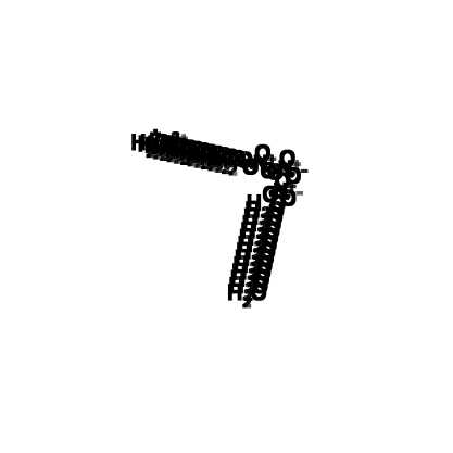 O.O.O.O.O.O.O.O.O.O.O.O.O.O.O.O.O.O.O.O.O.O.O.O.O.O.O.O=[N+]([O-])[O-].O=[N+]([O-])[O-].O=[N+]([O-])[O-].[Fe+3]